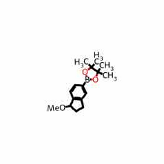 COC1CCc2cc(B3OC(C)(C)C(C)(C)O3)ccc21